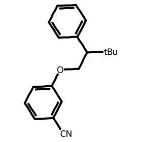 CC(C)(C)C(COc1cccc(C#N)c1)c1ccccc1